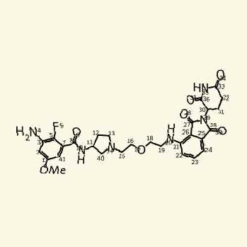 COc1cc(N)c(F)c(C(=O)NC2CCN(CCOCCNc3cccc4c3C(=O)N(C3CCC(=O)NC3=O)C4=O)C2)c1